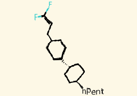 CCCCC[C@H]1CC[C@H](C2CCC(CC=C(F)F)CC2)CC1